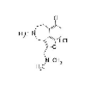 CN(C)Cc1oc2ccc(Cl)c3c2c1CN(C)CC3.Cl